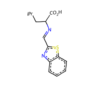 CC(C)CC(N=Cc1nc2ccccc2s1)C(=O)O